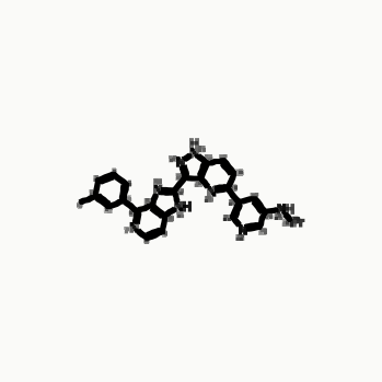 Cc1cccc(-c2nccc3[nH]c(-c4n[nH]c5ccc(-c6cncc(NC(C)C)c6)nc45)nc23)c1